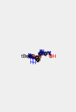 CN(CCO)C[C@H]1CCCN(c2nnc3ccc(O[C@@H]4CC[C@H](NC(=O)Nc5cc(C(C)(C)C)nn5C)c5ccccc54)cn23)C1